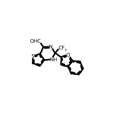 O=CC1=NC(c2cc3ccccc3o2)(C(F)(F)F)Nc2ccsc21